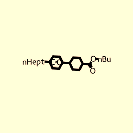 CCCCCCCC12CCC(C3CCC(C(=O)OCCCC)CC3)(CC1)CC2